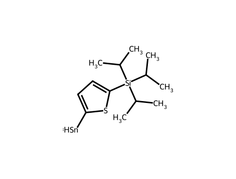 CC(C)[Si](c1cc[c]([SnH])s1)(C(C)C)C(C)C